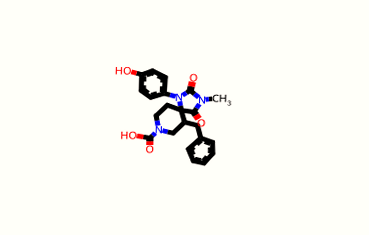 CN1C(=O)N(c2ccc(O)cc2)C2(CCN(C(=O)O)CC2Cc2ccccc2)C1=O